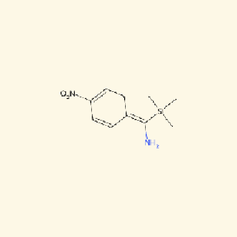 C[Si](C)(C)/C(N)=C1/C=CC([N+](=O)[O-])=CC1